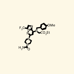 CCOC(=O)CN(Cc1ccc(OC)cc1)c1cc(N2CCN(C(N)=O)CC2)nn2c(C(F)(F)F)cnc12